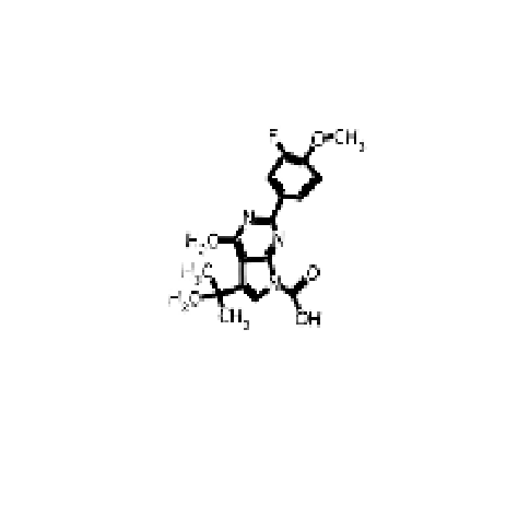 COc1ccc(-c2nc(C)c3c(C(C)(C)C)cn(C(=O)O)c3n2)cc1F